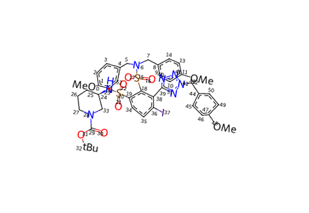 COc1ccc(CN(Cc2ccc(OC)cc2)S(=O)(=O)c2c(S(=O)(=O)N[C@@H]3CCCN(C(=O)OC(C)(C)C)C3)ccc(I)c2-c2nnn(Cc3ccc(OC)cc3)n2)cc1